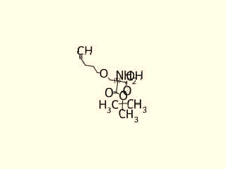 C#CCCCOC[C@](N)(C(=O)O)C(=O)OC(C)(C)C